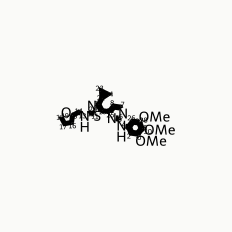 COc1cc(Nc2nccc(-c3sc(NCC4CCCO4)nc3C3CC3)n2)cc(OC)c1OC